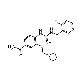 N=C(NCc1ccccc1F)Nc1ccc(C(N)=O)cc1OCC1CCC1